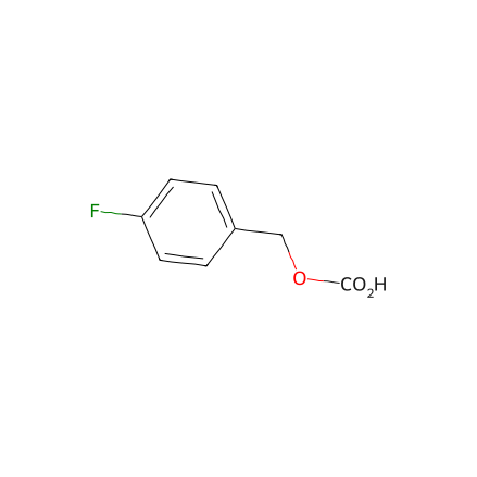 O=C(O)OCc1ccc(F)cc1